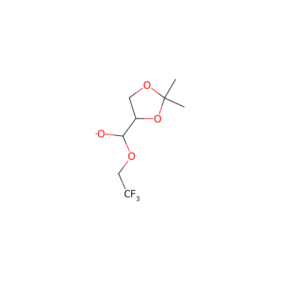 CC1(C)OCC(C([O])OCC(F)(F)F)O1